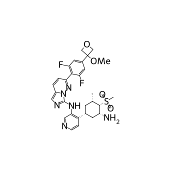 COC1(c2cc(F)c(-c3ccc4cnc(Nc5cnccc5[C@H]5C[C@@H](N)[C@@H](S(C)(=O)=O)[C@@H](C)C5)n4n3)c(F)c2)COC1